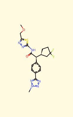 COCc1nnc(NC(=O)[C@H](c2ccc(-c3nnn(C)n3)cc2)[C@H]2CCC(F)(F)C2)s1